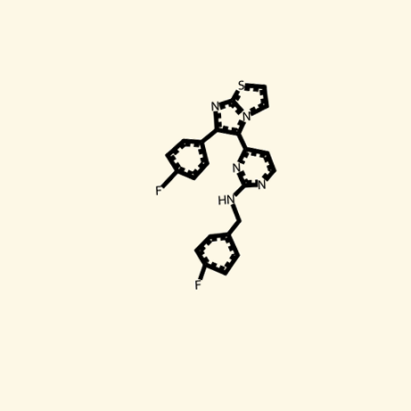 Fc1ccc(CNc2nccc(-c3c(-c4ccc(F)cc4)nc4sccn34)n2)cc1